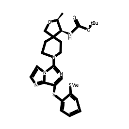 CSc1ccccc1Sc1cnc(N2CCC3(CC2)CO[C@@H](C)[C@H]3NC(=O)OC(C)(C)C)n2ccnc12